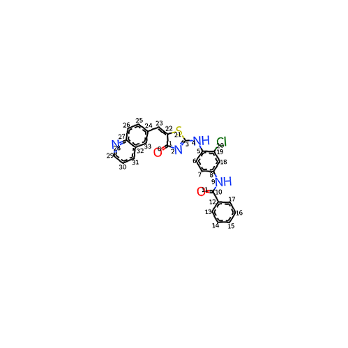 O=C1N=C(Nc2ccc(NC(=O)c3ccccc3)cc2Cl)SC1=Cc1ccc2ncccc2c1